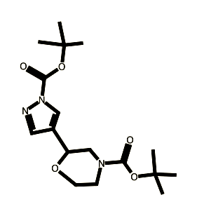 CC(C)(C)OC(=O)N1CCOC(c2cnn(C(=O)OC(C)(C)C)c2)C1